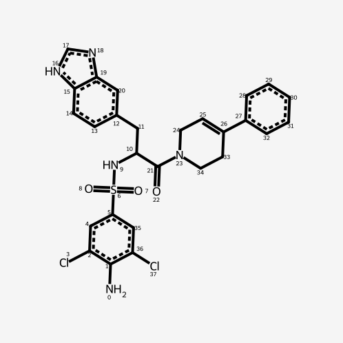 Nc1c(Cl)cc(S(=O)(=O)NC(Cc2ccc3[nH]cnc3c2)C(=O)N2CC=C(c3ccccc3)CC2)cc1Cl